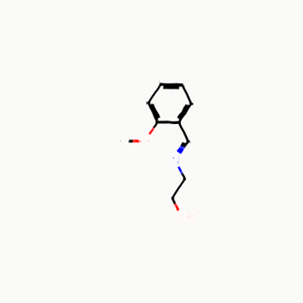 COc1ccccc1/C=N/CCO